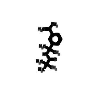 C=C(C)c1cccc(C(C)(C)NC(=O)C(C)(C)C)c1